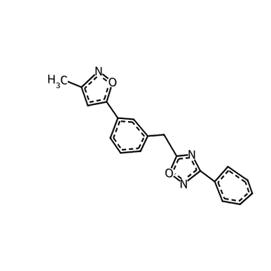 Cc1cc(-c2cccc(Cc3nc(-c4ccccc4)no3)c2)on1